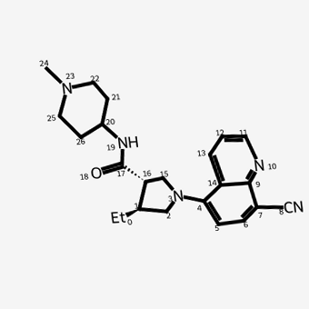 CC[C@@H]1CN(c2ccc(C#N)c3ncccc23)C[C@H]1C(=O)NC1CCN(C)CC1